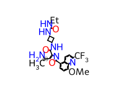 CCNC(=O)N[C@H]1C[C@@H](NC(=O)c2nc(-c3ccc(OC)c4nc(C(F)(F)F)ccc34)oc2[C@H](C)N)C1